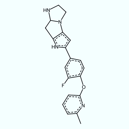 Cc1cccc(Oc2ccc(-c3cc4c([nH]3)CC3NCCN43)cc2F)n1